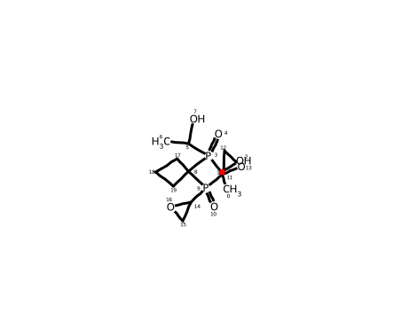 CC(O)P(=O)(C(C)O)C1(P(=O)(C2CO2)C2CO2)CCC1